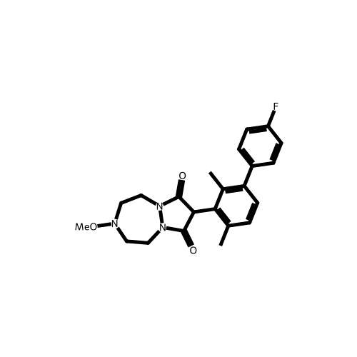 CON1CCN2C(=O)C(c3c(C)ccc(-c4ccc(F)cc4)c3C)C(=O)N2CC1